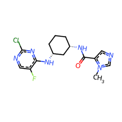 Cn1cncc1C(=O)N[C@H]1CCC[C@@H](Nc2nc(Cl)ncc2F)C1